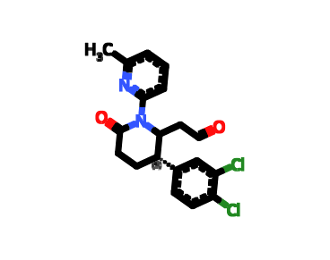 Cc1cccc(N2C(=O)CC[C@@H](c3ccc(Cl)c(Cl)c3)C2CC=O)n1